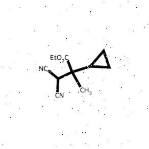 CCOC(=O)C(C)(C(C#N)C#N)C1CC1